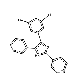 Clc1cc(Cl)cc(-c2nc(-c3ccncc3)[nH]c2-c2ccccc2)c1